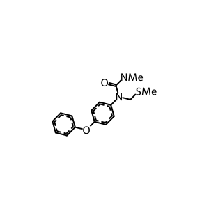 CNC(=O)N(CSC)c1ccc(Oc2ccccc2)cc1